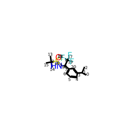 CC(C)c1cccc([C@@H](N[S+]([O-])C(C)(C)C)C(F)(F)F)c1